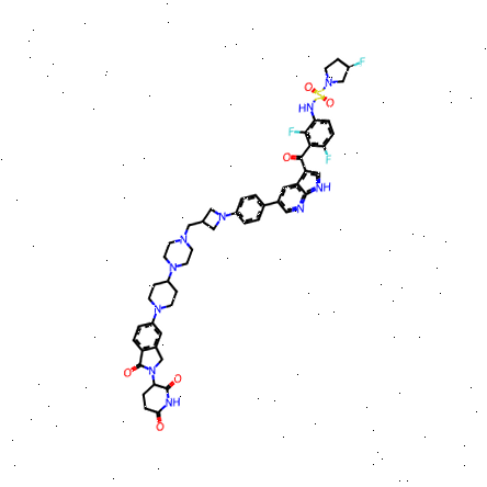 O=C1CCC(N2Cc3cc(N4CCC(N5CCN(CC6CN(c7ccc(-c8cnc9[nH]cc(C(=O)c%10c(F)ccc(NS(=O)(=O)N%11CC[C@@H](F)C%11)c%10F)c9c8)cc7)C6)CC5)CC4)ccc3C2=O)C(=O)N1